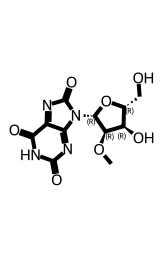 CO[C@@H]1[C@H](O)[C@@H](CO)O[C@H]1N1C(=O)N=C2C(=O)NC(=O)N=C21